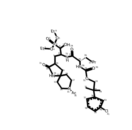 CCOP(=O)(OCC)C(O)C(CC1CC2(CCN(C(C)=O)CC2)NC1=O)NC(=O)[C@H](CC(C)C)NC(=O)OCC(C)(C)c1cccc(Cl)c1